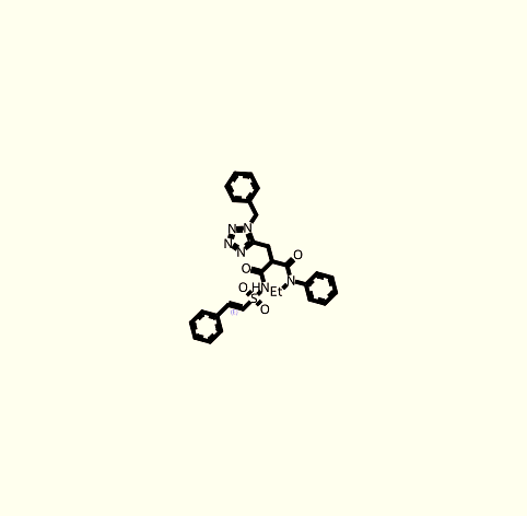 CCN(C(=O)C(Cc1nnnn1Cc1ccccc1)C(=O)NS(=O)(=O)/C=C/c1ccccc1)c1ccccc1